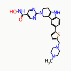 CN1CCN(Cc2ccc(-c3ccc4[nH]c5c(c4c3)CN(c3ncc(C(=O)NO)cn3)CC5)s2)CC1